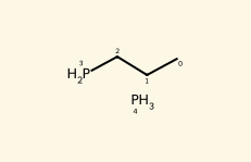 CCCP.P